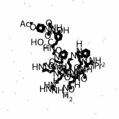 CC(=O)COc1ccc(-n2c(=O)[nH]n(-c3cc(CC(NC(=O)CNC(=O)C(Cc4ccccc4)NC(=O)C(Cc4c[nH]cn4)NC(=O)C(CCCNC(=N)N)NC(=O)C(CCCCN)NC(=O)C(CCC(N)=O)NC(=O)C(CO)NC(=O)C(Cc4c[nH]c5ccccc45)NC(=O)C(N)C(C)C)C(=O)O)ccc3O)c2=O)cc1